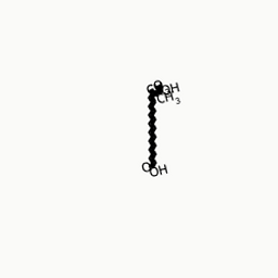 CC(C=CCCCCCCCCCCCCCCC(=O)O)=C(C)C(=O)O